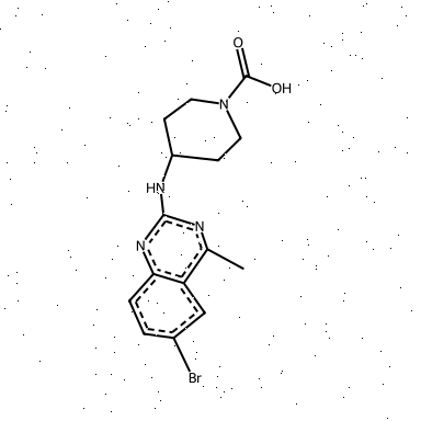 Cc1nc(NC2CCN(C(=O)O)CC2)nc2ccc(Br)cc12